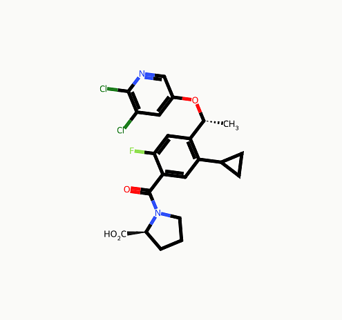 C[C@@H](Oc1cnc(Cl)c(Cl)c1)c1cc(F)c(C(=O)N2CCC[C@H]2C(=O)O)cc1C1CC1